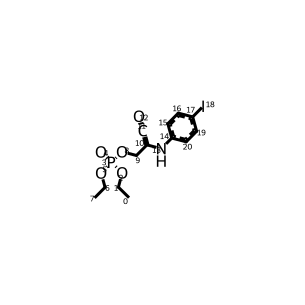 CCOP(=O)(OCC)OCC(=C=O)Nc1ccc(I)cc1